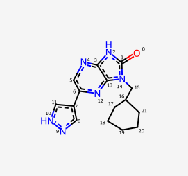 O=c1[nH]c2ncc(-c3cn[nH]c3)nc2n1CC1CCCCC1